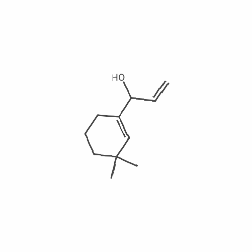 C=CC(O)C1=CC(C)(C)CCC1